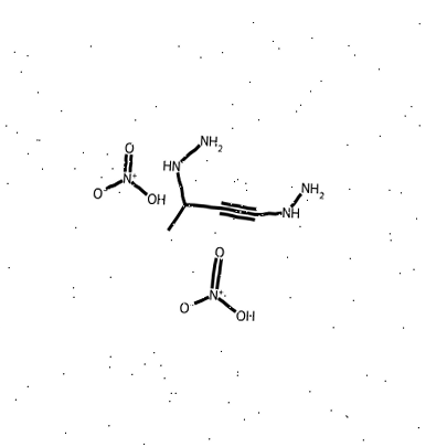 CC(C#CNN)NN.O=[N+]([O-])O.O=[N+]([O-])O